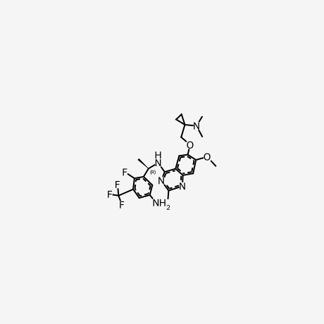 COc1cc2nc(C)nc(N[C@H](C)c3cc(N)cc(C(F)(F)F)c3F)c2cc1OCC1(N(C)C)CC1